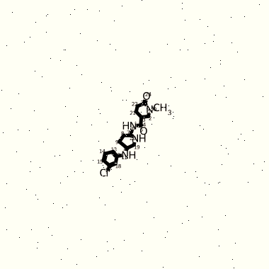 CN1CC(C(=O)NC2CCC(Nc3cccc(Cl)c3)CN2)CCC1=O